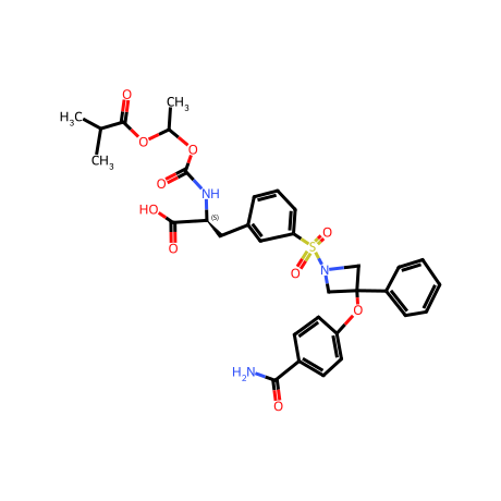 CC(OC(=O)N[C@@H](Cc1cccc(S(=O)(=O)N2CC(Oc3ccc(C(N)=O)cc3)(c3ccccc3)C2)c1)C(=O)O)OC(=O)C(C)C